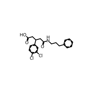 O=C(O)CC(CC(=O)NCCCc1ccccc1)c1ccc(Cl)c(Cl)c1